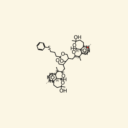 C[C@H]1[C@@H](CC2COC3(CCCSc4ccccc4)OCC(C[C@H]4O[C@@H]5OC(C)(O)CC[C@H]6[C@H](C)CC[C@@H]([C@H]4C)[C@@]56O)C2O3)O[C@@H]2OC(C)(O)CC[C@H]3[C@H](C)CC[C@@H]1[C@@]23O